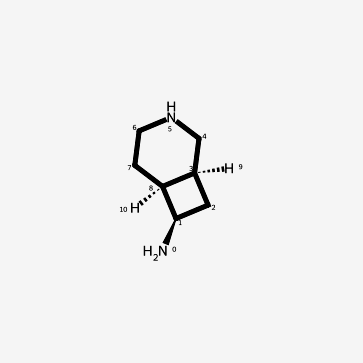 N[C@@H]1C[C@@H]2CNCC[C@@H]21